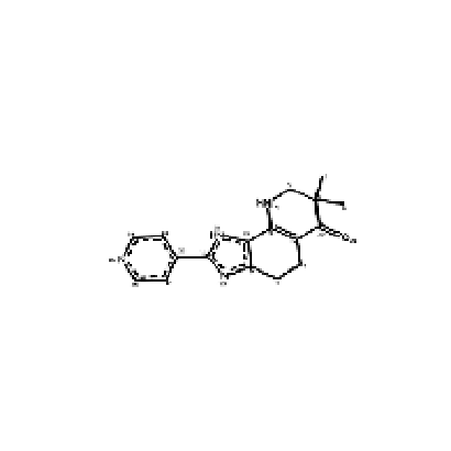 CC1(C)CNC2=C(CCc3nc(-c4ccncc4)[nH]c32)C1=O